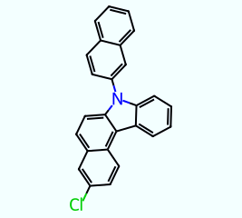 Clc1ccc2c(ccc3c2c2ccccc2n3-c2ccc3ccccc3c2)c1